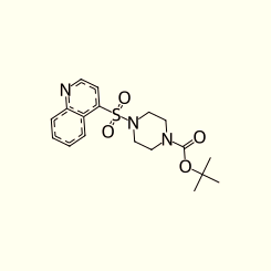 CC(C)(C)OC(=O)N1CCN(S(=O)(=O)c2ccnc3ccccc23)CC1